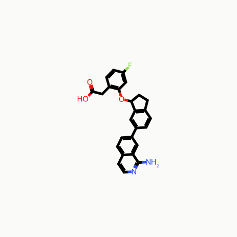 Nc1nccc2ccc(-c3ccc4c(c3)C(Oc3cc(F)ccc3CC(=O)O)CC4)cc12